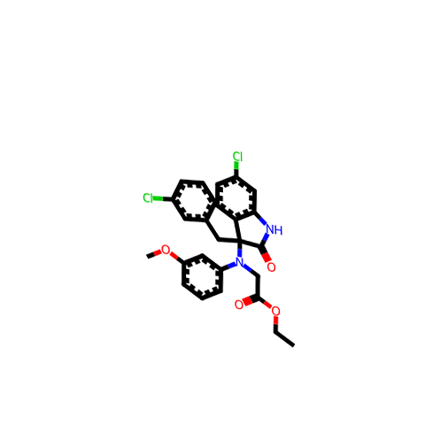 CCOC(=O)CN(c1cccc(OC)c1)C1(Cc2cccc(Cl)c2)C(=O)Nc2cc(Cl)ccc21